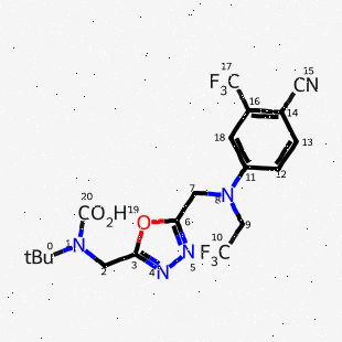 CC(C)(C)N(Cc1nnc(CN(CC(F)(F)F)c2ccc(C#N)c(C(F)(F)F)c2)o1)C(=O)O